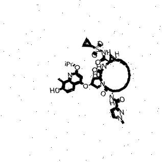 Cc1c(O)ccc2c(O[C@@H]3C[C@H]4C(=O)N[C@]5(C(=O)NS(=O)(=O)C6CC6)C[C@H]5C=CCCCCC[C@H](NC(=O)c5ccn(C)n5)C(=O)N4C3)cc(OC(C)C)nc12